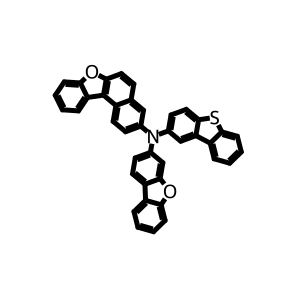 c1ccc2c(c1)oc1cc(N(c3ccc4c(ccc5oc6ccccc6c54)c3)c3ccc4sc5ccccc5c4c3)ccc12